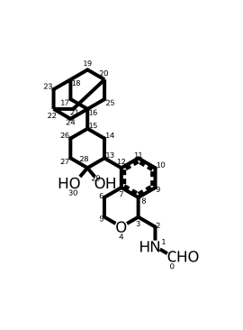 O=CNCC1OCCc2c1cccc2C1CC(C23CC4CC(CC(C4)C2)C3)CCC1(O)O